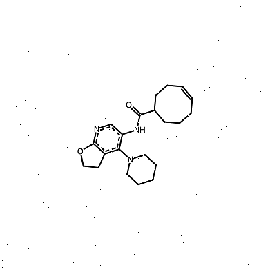 O=C(Nc1cnc2c(c1N1CCCCC1)CCO2)C1CC/C=C\CCC1